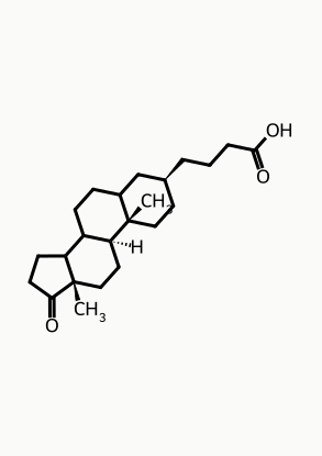 C[C@]12CC[C@H](CCCC(=O)O)CC1CCC1C3CCC(=O)[C@@]3(C)CC[C@@H]12